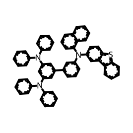 c1ccc(N(c2ccccc2)c2cc(-c3cccc(N(c4ccc5sc6ccccc6c5c4)c4cccc5ccccc45)c3)cc(N(c3ccccc3)c3ccccc3)c2)cc1